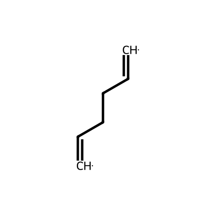 [CH]=CCCC=[CH]